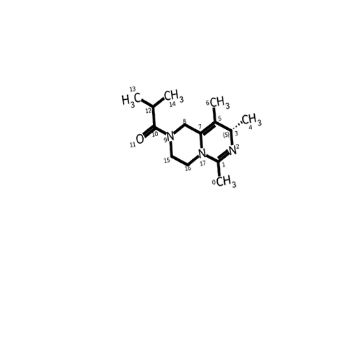 CC1=N[C@@H](C)C(C)=C2CN(C(=O)C(C)C)CCN12